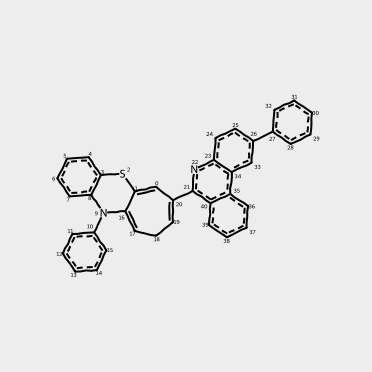 C1=C2Sc3ccccc3N(c3ccccc3)C2=CCC=C1c1nc2ccc(-c3ccccc3)cc2c2ccccc12